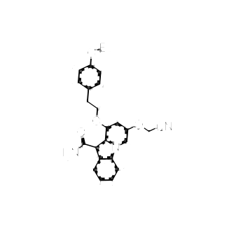 CCOc1ccc(CCOc2cc(OCC#N)cn3c2c(C(N)=O)c2ccccc23)cc1